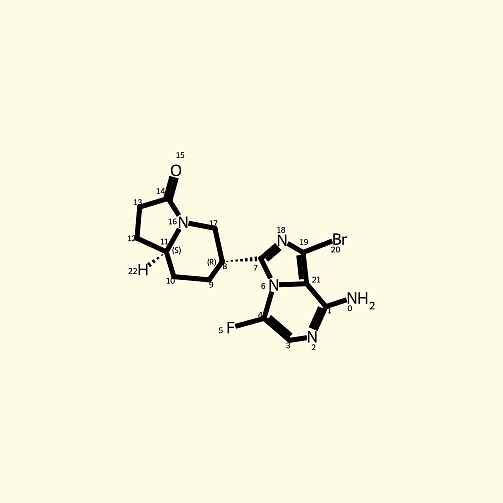 Nc1ncc(F)n2c([C@@H]3CC[C@H]4CCC(=O)N4C3)nc(Br)c12